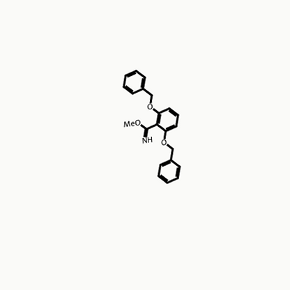 COC(=N)c1c(OCc2ccccc2)cccc1OCc1ccccc1